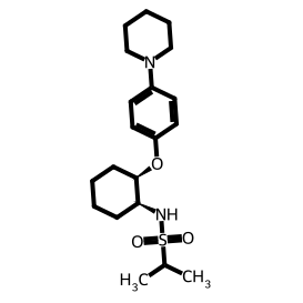 CC(C)S(=O)(=O)N[C@H]1CCCC[C@H]1Oc1ccc(N2CCCCC2)cc1